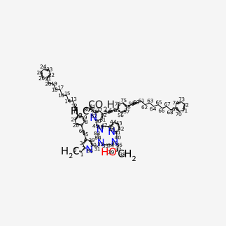 C=Cc1cc(C#Cc2ccc(C#CCCCCCCCCc3ccccc3)cc2)cc(CN2CCN(CC(=C)O)Cc3cccc(n3)CN(Cc3cc(C#Cc4ccc(C#CCCCCCCCCc5ccccc5)cc4)cc(C(=C)C(=O)O)n3)CC2)n1